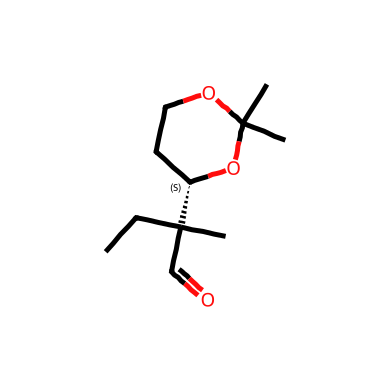 CCC(C)(C=O)[C@@H]1CCOC(C)(C)O1